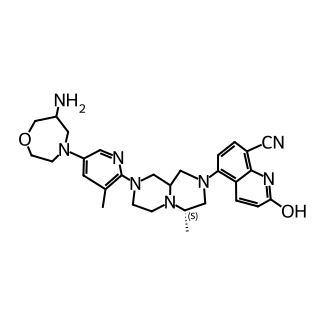 Cc1cc(N2CCOCC(N)C2)cnc1N1CCN2C(C1)CN(c1ccc(C#N)c3nc(O)ccc13)C[C@@H]2C